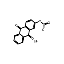 O=C1c2ccccc2C(=O)c2cc(O[SH](=O)=O)ccc21.[LiH]